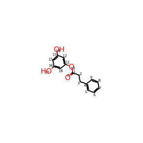 O=C(CCc1ccccc1)Oc1cc(O)cc(O)c1